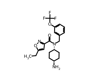 CCc1cc(C(=O)N(Cc2cccc(OC(F)(F)F)c2)[C@H]2CC[C@H](N)CC2)no1